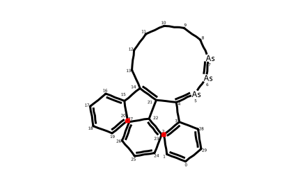 c1ccc(C2=[As][As]=[As]CCCCCCC(c3ccccc3)=C2c2ccccc2)cc1